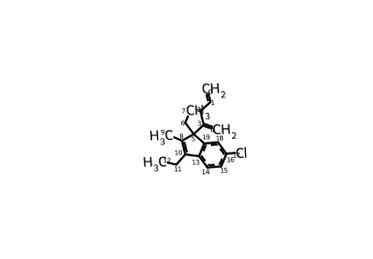 C=CCC(=C)C1(CC)C(C)=C(CC)c2ccc(Cl)cc21